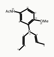 CC=CN(C=CC)c1cc(NC(C)=O)ccc1OC